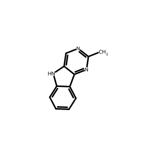 Cc1ncc2[nH]c3ccccc3c2n1